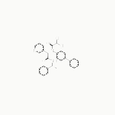 C[C@H](NC(=O)[C@H](c1cccnc1)N(C(=O)C(Cl)Cl)c1ccc(-c2ccccc2)cc1)c1ccccc1